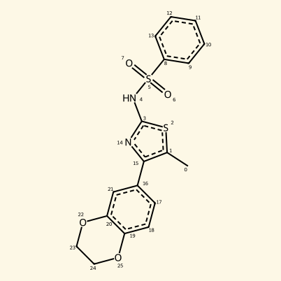 Cc1sc(NS(=O)(=O)c2ccccc2)nc1-c1ccc2c(c1)OCCO2